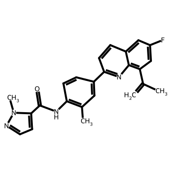 C=C(C)c1cc(F)cc2ccc(-c3ccc(NC(=O)c4ccnn4C)c(C)c3)nc12